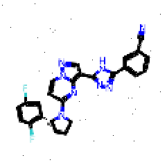 N#Cc1cccc(-c2nnc(-c3cnn4ccc(N5CCC[C@@H]5c5cc(F)ccc5F)nc34)[nH]2)c1